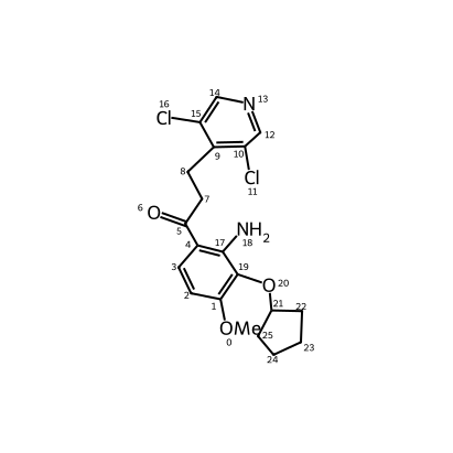 COc1ccc(C(=O)CCc2c(Cl)cncc2Cl)c(N)c1OC1CCCC1